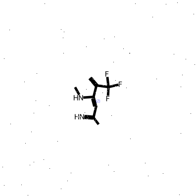 C=C(/C(=C/C(C)=N)NC)C(F)(F)F